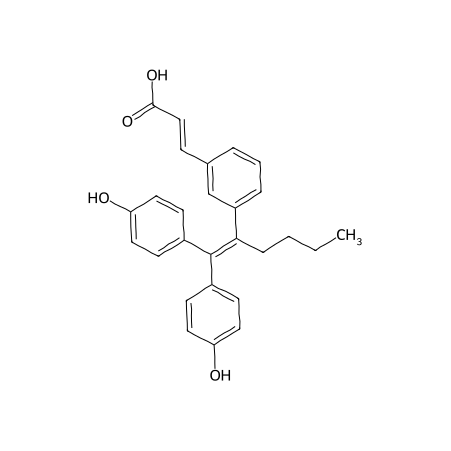 CCCCC(=C(c1ccc(O)cc1)c1ccc(O)cc1)c1cccc(/C=C/C(=O)O)c1